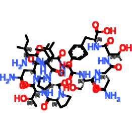 CC[C@H](C)[C@H](N)C(=O)N[C@@H](CC(C)C)C(=O)N1CCC[C@H]1C(=O)N1CCC[C@H]1C(=O)N[C@H](C(=O)N[C@@H](CC(N)=O)C(=O)N[C@H](C(=O)NCC(=O)N[C@@H](CO)C(=O)N[C@@H](CC(N)=O)C(=O)N[C@H](C(=O)N[C@@H](Cc1ccc(O)cc1)C(=O)O)[C@@H](C)O)C(C)C)[C@@H](C)O